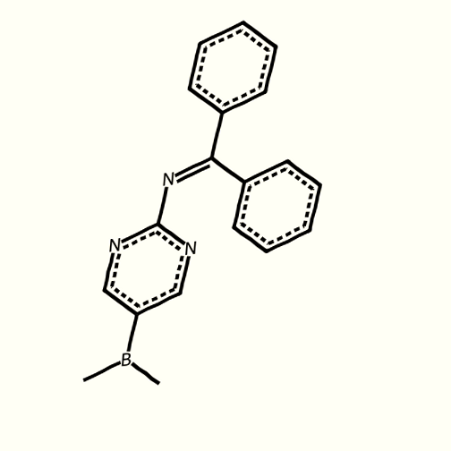 CB(C)c1cnc(N=C(c2ccccc2)c2ccccc2)nc1